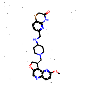 COc1ccc2ncc3c(c2n1)[C@H](CN1CCC(NCc2ccc4c(n2)NC(=O)CS4)CC1)CO3